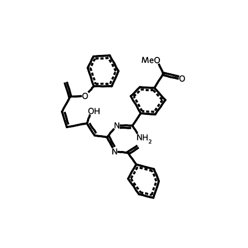 C=C(\C=C/C(O)=C/C(=N/C(=C)c1ccccc1)/N=C(\N)c1ccc(C(=O)OC)cc1)Oc1ccccc1